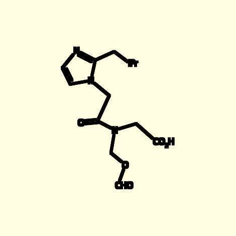 CC(C)Cc1nccn1CC(=O)N(COC=O)CC(=O)O